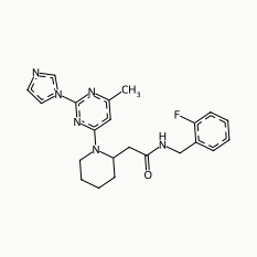 Cc1cc(N2CCCCC2CC(=O)NCc2ccccc2F)nc(-n2ccnc2)n1